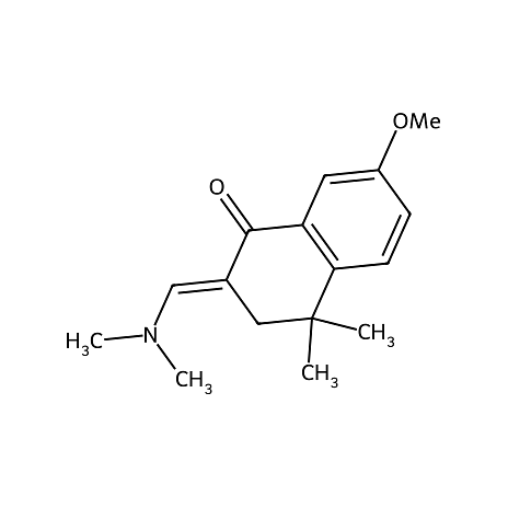 COc1ccc2c(c1)C(=O)C(=CN(C)C)CC2(C)C